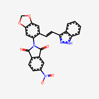 O=C1c2ccc([N+](=O)[O-])cc2C(=O)N1c1cc2c(cc1/C=C/c1n[nH]c3ccccc13)OCO2